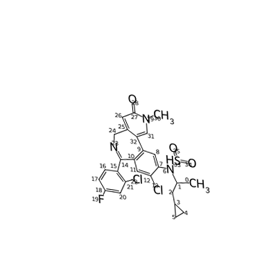 CC(CC1CC1)N(c1cc2c(cc1Cl)C(c1ccc(F)cc1Cl)=NCc1cc(=O)n(C)cc1-2)[SH](=O)=O